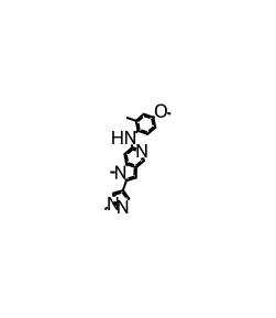 COc1ccc(Nc2cc3c(cn2)cc(-c2cnn(C)c2)n3C)c(C)c1